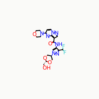 O=C(Nc1cn([C@H]2CO[C@H](CO)OC2)nc1C(F)F)c1cnn2ccc(N3CCOCC3)nc12